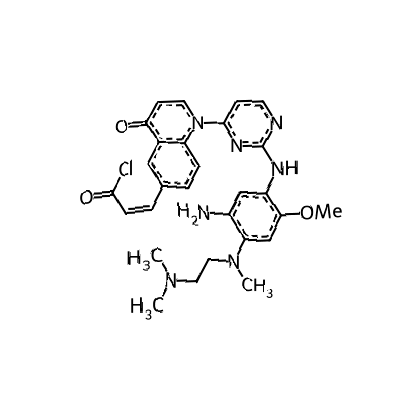 COc1cc(N(C)CCN(C)C)c(N)cc1Nc1nccc(-n2ccc(=O)c3cc(/C=C\C(=O)Cl)ccc32)n1